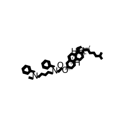 CCN(CCCCCN(CC(=O)O[C@H]1CC[C@@]2(C)C(=CC[C@H]3[C@@H]4CC[C@H]([C@H](C)CCCC(C)C)[C@@]4(C)CC[C@@H]32)C1)Cc1ccccc1)Cc1ccccc1